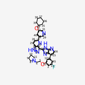 Fc1cc(OCCN2CCCC2)cc(-c2ccnc3[nH]c(-c4n[nH]c5ccc(-c6cncc(OC7CCCCC7)c6)nc45)nc23)c1